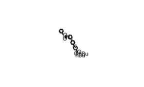 CCCCOC(OCCCC)C1CCN(c2ccc([C@@H]3CCCN(C(=O)OCc4ccccc4)C3)cc2)CC1